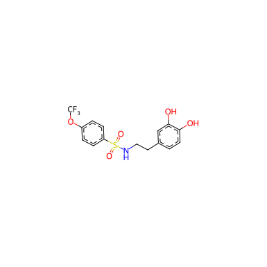 O=S(=O)(NCCc1ccc(O)c(O)c1)c1ccc(OC(F)(F)F)cc1